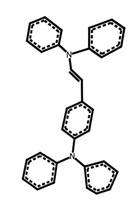 C(=CN(c1ccccc1)c1ccccc1)c1ccc(N(c2ccccc2)c2ccccc2)cc1